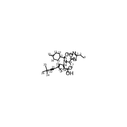 CCc1noc(C(C)N(C(=O)C2CCC(C)CC2)c2cc(C#CC(C)(C)C)sc2C(=O)O)n1